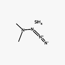 CN(C)N=[N+]=[N-].[SiH4]